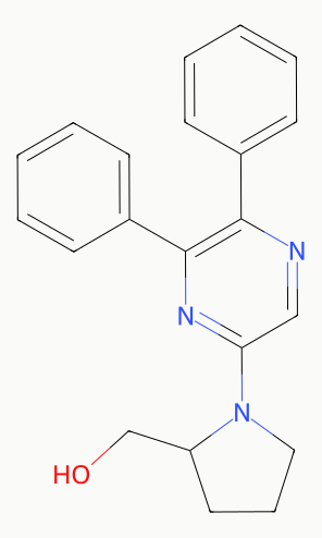 OCC1CCCN1c1cnc(-c2ccccc2)c(-c2ccccc2)n1